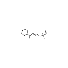 C=CC(C)(C)CCC=CC(C)C1CCCCC1